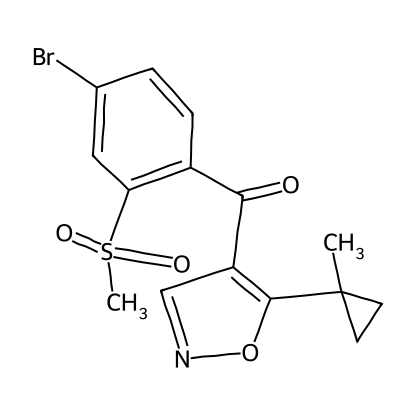 CC1(c2oncc2C(=O)c2ccc(Br)cc2S(C)(=O)=O)CC1